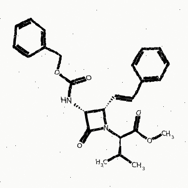 COC(=O)[C@@H](C(C)C)N1C(=O)[C@H](NC(=O)OCc2ccccc2)[C@@H]1C=Cc1ccccc1